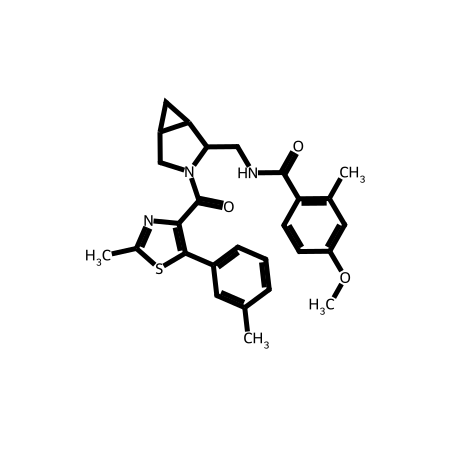 COc1ccc(C(=O)NCC2C3CC3CN2C(=O)c2nc(C)sc2-c2cccc(C)c2)c(C)c1